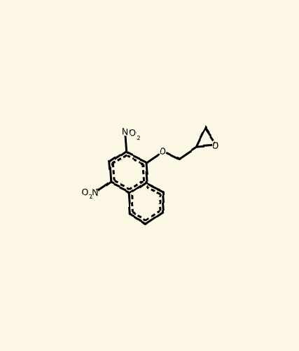 O=[N+]([O-])c1cc([N+](=O)[O-])c2ccccc2c1OCC1CO1